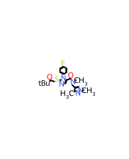 Cc1nn(C)cc1CN(C)C(=O)c1cnc(SCC(=O)C(C)(C)C)n1-c1ccc(F)cc1